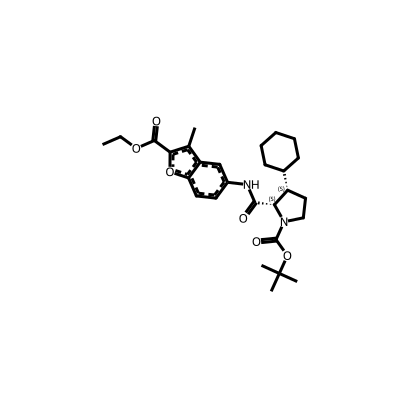 CCOC(=O)c1oc2ccc(NC(=O)[C@@H]3[C@H](C4CCCCC4)CCN3C(=O)OC(C)(C)C)cc2c1C